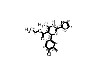 CCOC(=O)C1=C(C)NC(c2nccs2)=NC1c1ccc(Cl)c(F)c1